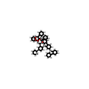 c1ccc(-c2nc(-c3ccccc3)nc(-c3cc(-c4ccccn4)ccc3-n3c4cc(-n5c6ccccc6c6ccccc65)ccc4c4ccc(-n5c6ccccc6c6ccccc65)cc43)n2)cc1